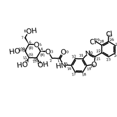 O=C(CO[C@@H]1O[C@H](CO)[C@@H](O)[C@H](O)[C@@H]1O)Nc1ccc2oc(-c3cccc(Cl)c3Cl)nc2c1